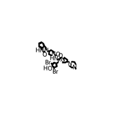 CN1CCCN(C2CCN(C(=O)[C@@H](Cc3cc(Br)c(O)c(Br)c3)NC(=O)N3CCC(N4Cc5ccccc5NC4=O)CC3)CC2)CC1